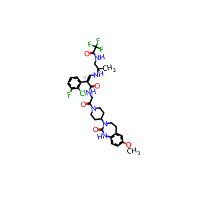 COc1ccc2c(c1)CCN(C1CCN(C(=O)CNC(=O)/C(=C\N[C@H](C)CNC(=O)C(F)(F)F)c3cccc(F)c3Cl)CC1)C(=O)N2